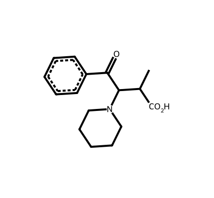 CC(C(=O)O)C(C(=O)c1ccccc1)N1CCCCC1